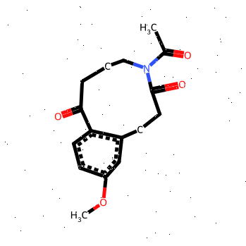 COc1ccc2c(c1)CCC(=O)N(C(C)=O)CCCC2=O